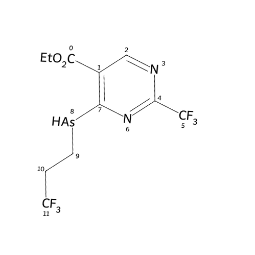 CCOC(=O)c1cnc(C(F)(F)F)nc1[AsH]CCC(F)(F)F